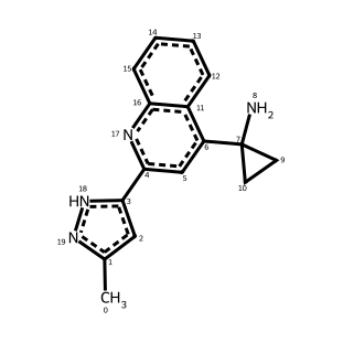 Cc1cc(-c2cc(C3(N)CC3)c3ccccc3n2)[nH]n1